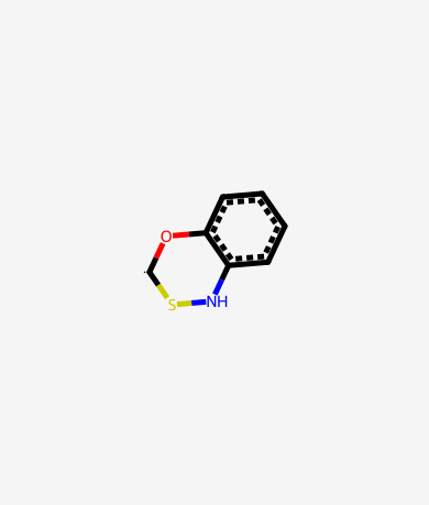 [CH]1Oc2ccccc2NS1